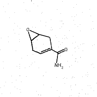 NC(=O)C1=CCC2OC2C1